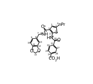 CCCc1cc(C(=O)NCc2ccc3c(c2)OCO3)c(NC(=O)c2ccc(C(=O)O)cc2)s1